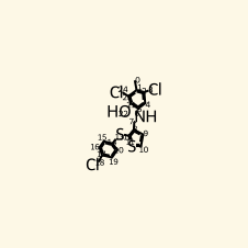 Cc1c(Cl)cc(NCc2ccsc2Sc2ccc(Cl)cc2)c(O)c1Cl